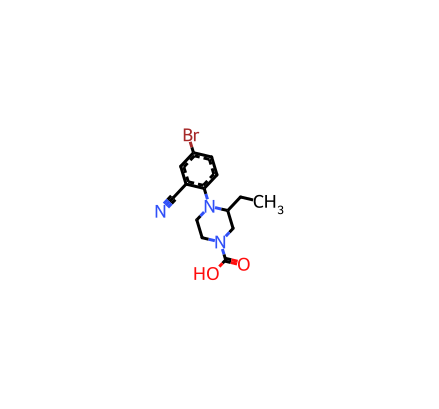 CCC1CN(C(=O)O)CCN1c1ccc(Br)cc1C#N